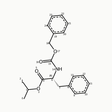 CC(I)OC(=O)[C@@H](Cc1ccccc1)NC(=O)OCc1ccccc1